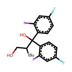 CC(C)(C)C(CO)C(O)(c1ccc(F)cc1I)c1ccc(F)cc1I